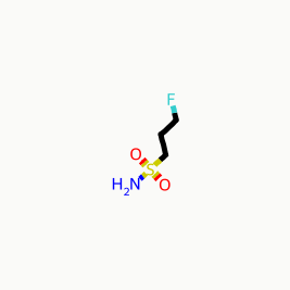 NS(=O)(=O)CCCF